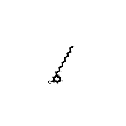 CCCCCCCCCCCCc1cccc(Cl)c1